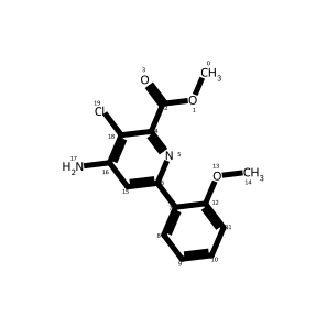 COC(=O)c1nc(-c2ccccc2OC)cc(N)c1Cl